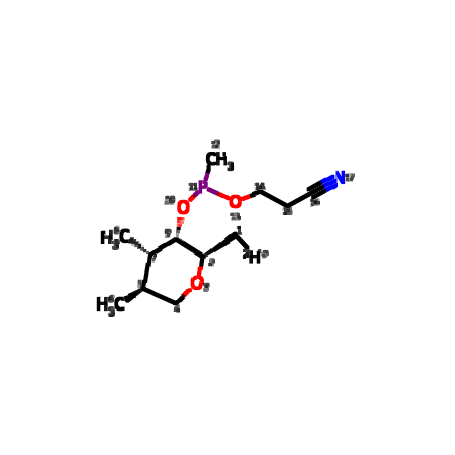 [2H]C[C@H]1OC[C@@H](C)[C@H](C)[C@@H]1OP(C)OCCC#N